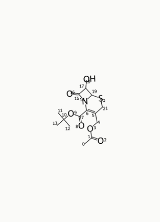 CC(=O)OCC1=C(C(=O)OC(C)(C)C)N2C(=O)C(O)C2SC1